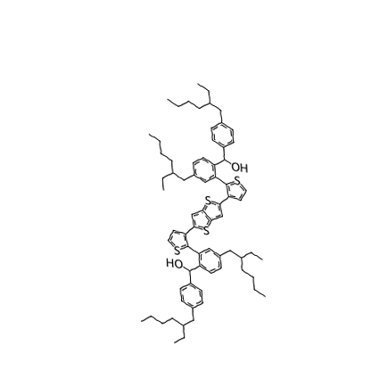 CCCCC(CC)Cc1ccc(C(O)c2ccc(CC(CC)CCCC)cc2-c2sccc2-c2cc3sc(-c4ccsc4-c4cc(CC(CC)CCCC)ccc4C(O)c4ccc(CC(CC)CCCC)cc4)cc3s2)cc1